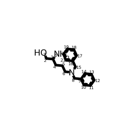 NC(CO)CCCN(Cc1ccccc1)Cc1ccccc1